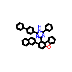 c1ccc(-c2ccc(C3=NC(c4c(-c5ccc6ccccc6c5)ccc5oc6ccccc6c45)=NC(c4ccccc4)N3)cc2)cc1